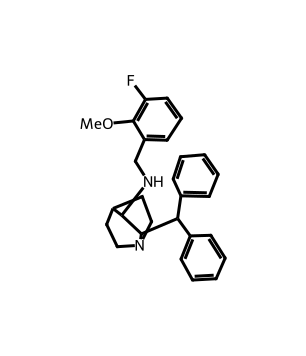 COc1c(F)cccc1CNC1C2CCN(CC2)C1C(c1ccccc1)c1ccccc1